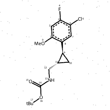 COc1cc(F)c(Cl)cc1[C@H]1C[C@@H]1CNC(=O)OC(C)(C)C